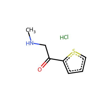 CNCC(=O)c1cccs1.Cl